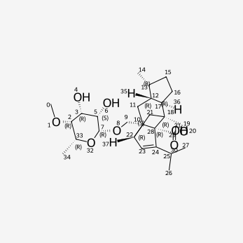 CO[C@@H]1[C@H](O)[C@H](O)[C@H](OC[C@@]23C[C@@H]4[C@H](C)CC[C@H]4[C@]4(C=O)C[C@@H]2C=C(C(C)C)[C@@]34C(=O)O)O[C@@H]1C